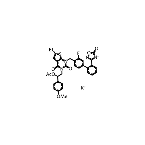 CCc1cc2c(=O)n(CC(OC(C)=O)c3ccc(OC)cc3)c(=O)n(Cc3ccc(-c4ccccc4-c4noc(=O)[n-]4)cc3F)c2s1.[K+]